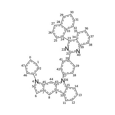 c1ccc(-n2ccc3cc4c5ccccc5n(-c5ccc(-c6nc(-c7cccc8ccccc78)c7ccccc7n6)cc5)c4cc32)cc1